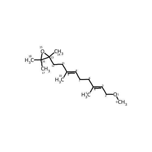 COC/C=C(\C)CC/C=C(\C)CCC1(C)OC1(C)C